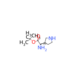 CC(C)(C)OC(=O)C(N)[C@@H]1CCNC1